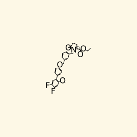 CCOC(=O)[C@@H]1CCC(=O)N1Cc1cccc(COc2ccc(-c3cc(F)c(F)cc3OC)cc2)c1